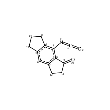 O=C=Nc1c2c(cc3c1C(=O)CC3)CCC2